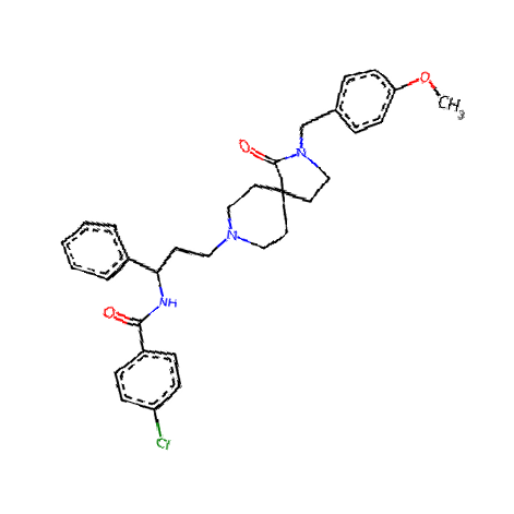 COc1ccc(CN2CCC3(CCN(CCC(NC(=O)c4ccc(Cl)cc4)c4ccccc4)CC3)C2=O)cc1